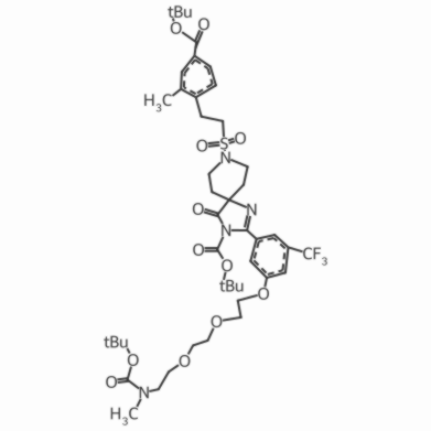 Cc1cc(C(=O)OC(C)(C)C)ccc1CCS(=O)(=O)N1CCC2(CC1)N=C(c1cc(OCCOCCOCCN(C)C(=O)OC(C)(C)C)cc(C(F)(F)F)c1)N(C(=O)OC(C)(C)C)C2=O